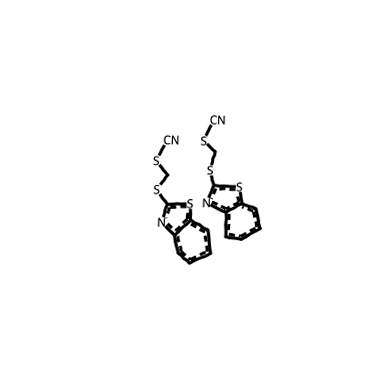 N#CSCSc1nc2ccccc2s1.N#CSCSc1nc2ccccc2s1